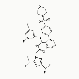 O=C(Cn1nc(C(F)F)cc1C(F)F)N[C@@H](Cc1cc(F)cc(F)c1)c1ncccc1-c1ccc(S(=O)(=O)N2CCOCC2)cc1